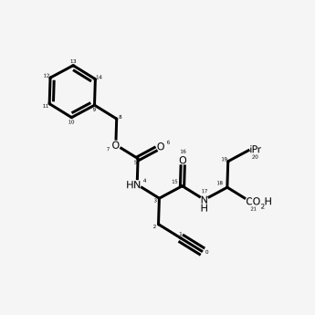 C#CCC(NC(=O)OCc1ccccc1)C(=O)NC(CC(C)C)C(=O)O